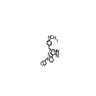 COc1ccc(CN2Cn3ncnc3-c3c2sc2c3CCCN2CC2CCOC2)cc1